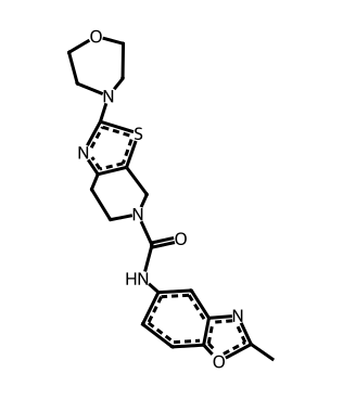 Cc1nc2cc(NC(=O)N3CCc4nc(N5CCOCC5)sc4C3)ccc2o1